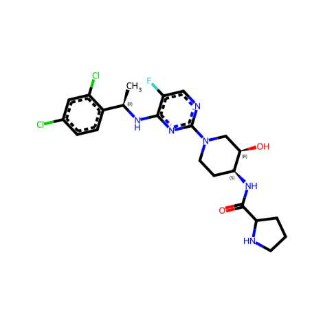 C[C@@H](Nc1nc(N2CC[C@H](NC(=O)C3CCCN3)[C@H](O)C2)ncc1F)c1ccc(Cl)cc1Cl